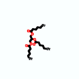 CC(C)CCCCC(=O)OCC(COC(=O)CCCCC(C)C)OC(=O)CCCCC(C)C